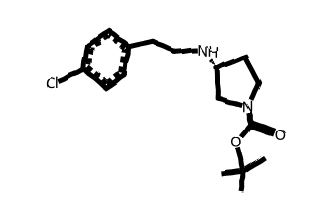 CC(C)(C)OC(=O)N1CC[C@@H](NCCc2ccc(Cl)cc2)C1